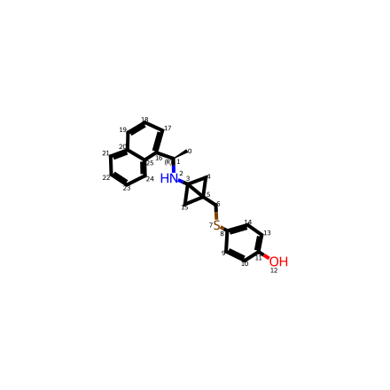 C[C@@H](NC12CC1(CSc1ccc(O)cc1)C2)c1cccc2ccccc12